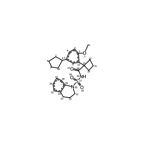 COc1ccc(C2CCCC2)cc1C1(C(=O)NS(=O)(=O)N2CCCc3ccccc32)CCC1